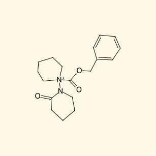 O=C1CCCCN1[N+]1(C(=O)OCc2ccccc2)CCCCC1